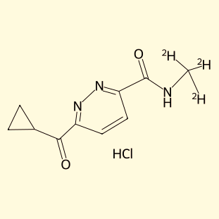 Cl.[2H]C([2H])([2H])NC(=O)c1ccc(C(=O)C2CC2)nn1